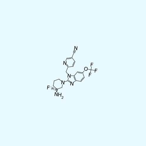 N#Cc1ccc(Cn2c(N3CC[C@@H](F)[C@H](N)C3)nc3ccc(OC(F)(F)F)cc32)nc1